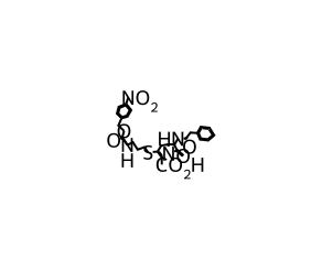 O=C(Cc1ccccc1)NC1C(=O)N2C(C(=O)O)=C(SCCCNC(=O)OCc3ccc([N+](=O)[O-])cc3)CC12